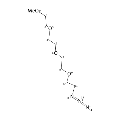 COCCOCCOCCOCCN=[N+]=[N-]